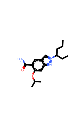 CCCC(CC)n1cc2cc(C(N)=O)c(OC(C)C)cc2n1